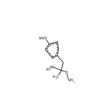 CCNC(C)(Cc1ccc(OC)cc1)O[SiH3]